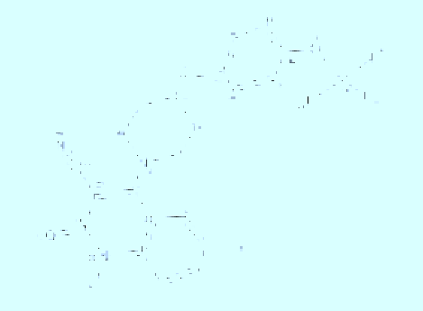 Cc1ccc2c(c1)c(N1CCC(Oc3ccc(OC(F)(F)F)cc3)CC1)c(C#N)c(=O)n2C